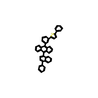 c1ccc(-c2ccc(-c3cccc(-c4c5ccccc5c(-c5ccc(-c6ccccc6)c6ccccc56)c5ccccc45)c3)s2)cc1